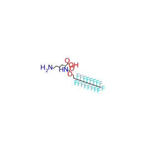 NCCCC[C@H](NC(=O)OCCC(F)(F)C(F)(F)C(F)(F)C(F)(F)C(F)(F)C(F)(F)C(F)(F)C(F)(F)F)C(=O)O